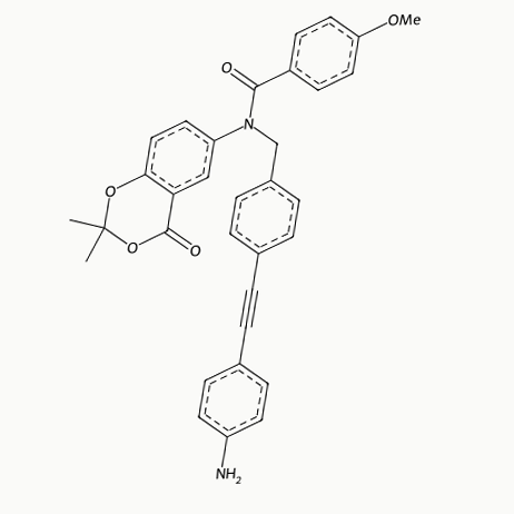 COc1ccc(C(=O)N(Cc2ccc(C#Cc3ccc(N)cc3)cc2)c2ccc3c(c2)C(=O)OC(C)(C)O3)cc1